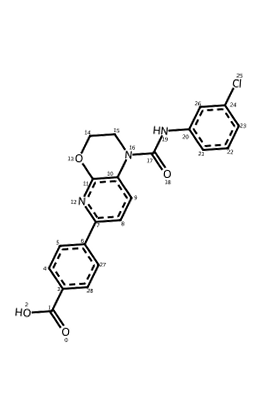 O=C(O)c1ccc(-c2ccc3c(n2)OCCN3C(=O)Nc2cccc(Cl)c2)cc1